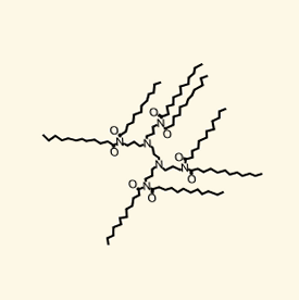 CCCCCCCCCCCC(=O)N(CCCN(CCCN(CCCN(C(=O)CCCCCCCCCCC)C(=O)CCCCCCCCCCC)CCCN(C(=O)CCCCCCCCCCC)C(=O)CCCCCCCCCCC)CCCN(C(=O)CCCCCCCCCCC)C(=O)CCCCCCCCCCC)C(=O)CCCCCCCCCCC